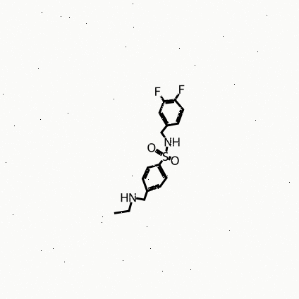 CCNCc1ccc(S(=O)(=O)NCc2ccc(F)c(F)c2)cc1